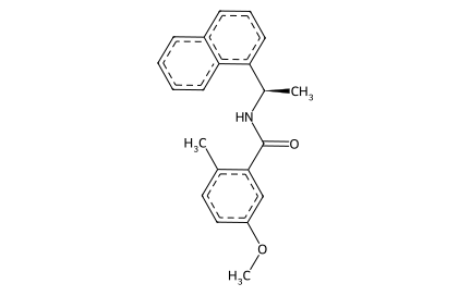 COc1ccc(C)c(C(=O)N[C@H](C)c2cccc3ccccc23)c1